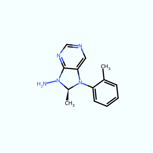 Cc1ccccc1N1c2cncnc2N(N)[C@@H]1C